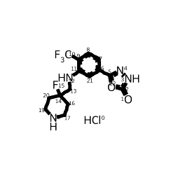 Cl.O=c1[nH]nc(-c2ccc(C(F)(F)F)c(NCC3(F)CCNCC3)c2)o1